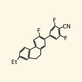 CCc1ccc2c(c1)CCc1cc(-c3cc(F)c(C#N)c(F)c3)c(F)cc1-2